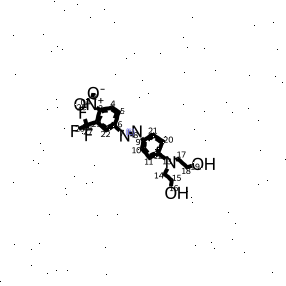 O=[N+]([O-])c1ccc(/N=N/c2ccc(N(CCO)CCO)cc2)cc1C(F)(F)F